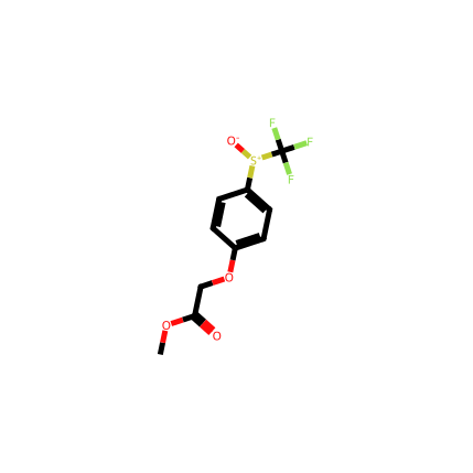 COC(=O)COc1ccc([S+]([O-])C(F)(F)F)cc1